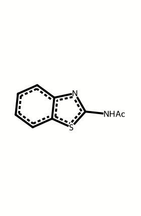 CC(=O)Nc1nc2ccccc2s1